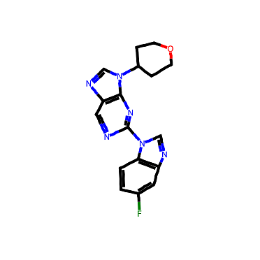 Fc1ccc2c(c1)ncn2-c1ncc2ncn(C3CCOCC3)c2n1